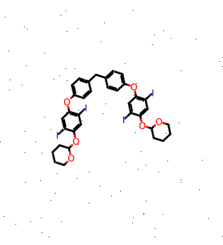 Ic1cc(OC2CCCCO2)c(I)cc1Oc1ccc(Cc2ccc(Oc3cc(I)c(OC4CCCCO4)cc3I)cc2)cc1